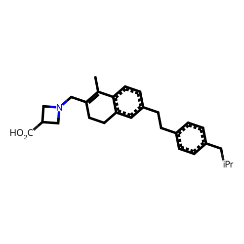 CC1=C(CN2CC(C(=O)O)C2)CCc2cc(CCc3ccc(CC(C)C)cc3)ccc21